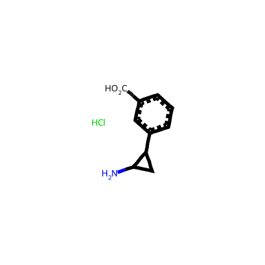 Cl.NC1CC1c1cccc(C(=O)O)c1